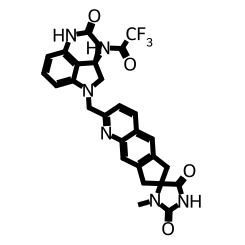 CN1C(=O)NC(=O)C12Cc1cc3ccc(CN4CC5(NC(=O)C(F)(F)F)CC(=O)Nc6cccc4c65)nc3cc1C2